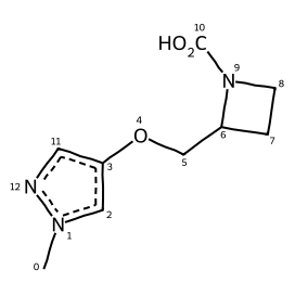 Cn1cc(OCC2CCN2C(=O)O)cn1